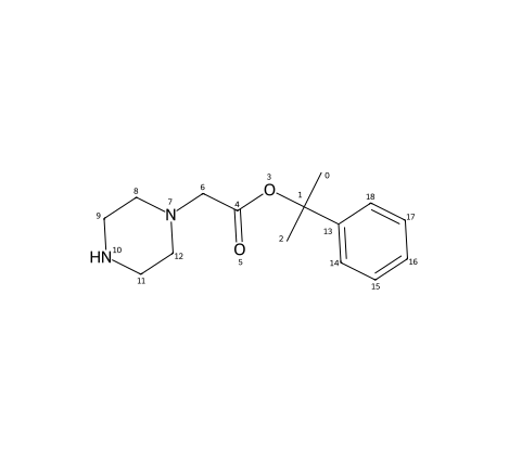 CC(C)(OC(=O)CN1CCNCC1)c1ccccc1